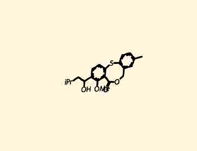 COc1c(C(O)CC(C)C)ccc2c1C(=O)OCc1cc(C)ccc1S2